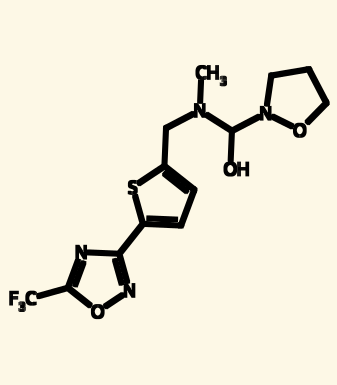 CN(Cc1ccc(-c2noc(C(F)(F)F)n2)s1)C(O)N1CCCO1